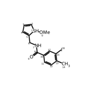 CO[SH]1C=CC=C1CNC(=O)c1ccc(C)c(I)c1